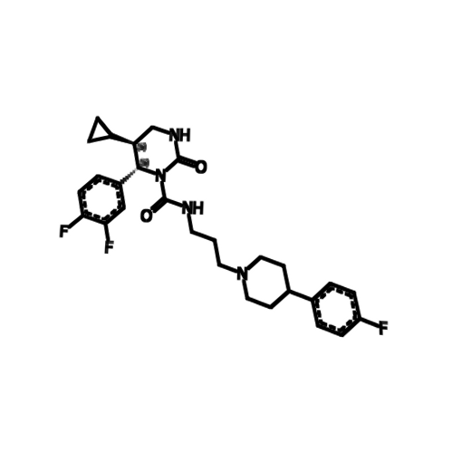 O=C(NCCCN1CCC(c2ccc(F)cc2)CC1)N1C(=O)NC[C@H](C2CC2)[C@H]1c1ccc(F)c(F)c1